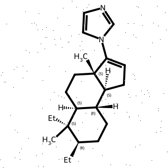 CC[C@@H]1CC[C@@H]2[C@H](CC[C@]3(C)C(n4ccnc4)=CC[C@@H]23)[C@@]1(C)CC